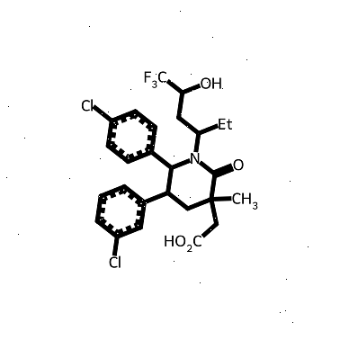 CCC(CC(O)C(F)(F)F)N1C(=O)C(C)(CC(=O)O)CC(c2cccc(Cl)c2)C1c1ccc(Cl)cc1